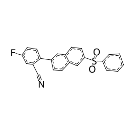 N#Cc1cc(F)ccc1-c1ccc2cc(S(=O)(=O)c3ccccc3)ccc2c1